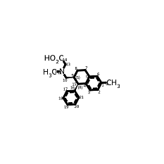 Cc1ccc2c(c1)CC[C@H](CN(C)CC(=O)O)[C@@H]2c1ccccc1